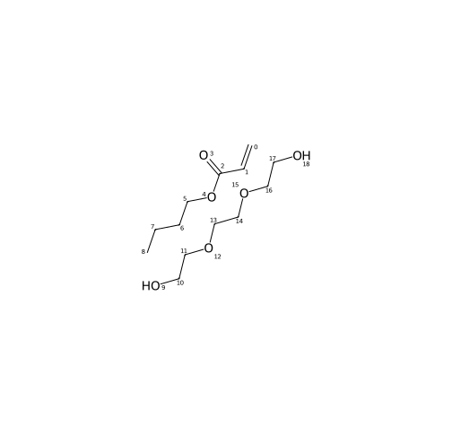 C=CC(=O)OCCCC.OCCOCCOCCO